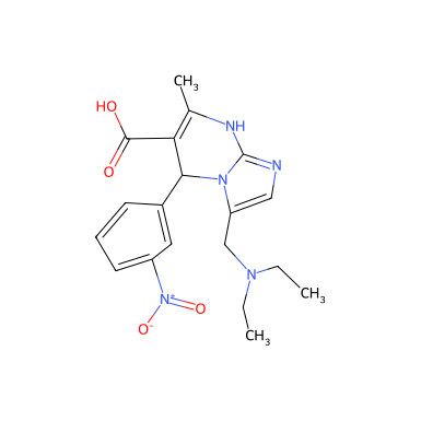 CCN(CC)Cc1cnc2n1C(c1cccc([N+](=O)[O-])c1)C(C(=O)O)=C(C)N2